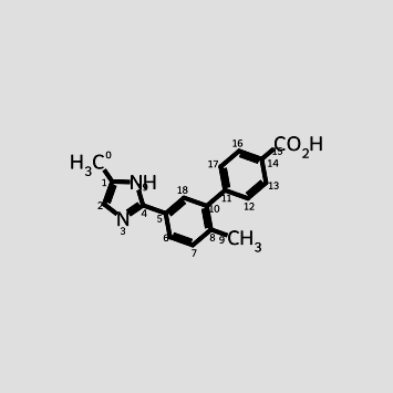 Cc1cnc(-c2ccc(C)c(-c3ccc(C(=O)O)cc3)c2)[nH]1